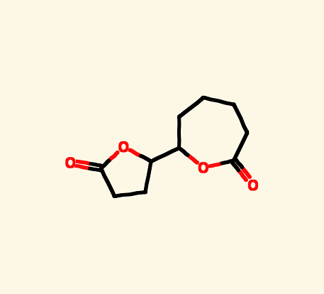 O=C1CCCCC(C2CCC(=O)O2)O1